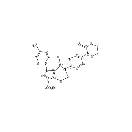 CCOC(=O)c1nn(-c2ccc(C)cc2)c2c1CCN(c1ccc(N3CCCCC3=O)cc1)C2=O